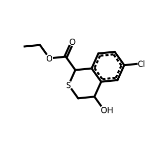 CCOC(=O)C1SCC(O)c2cc(Cl)ccc21